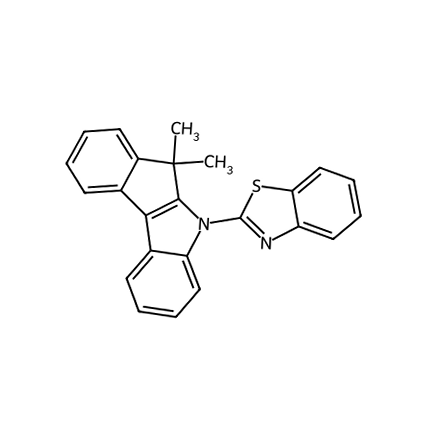 CC1(C)c2ccccc2-c2c1n(-c1nc3ccccc3s1)c1ccccc21